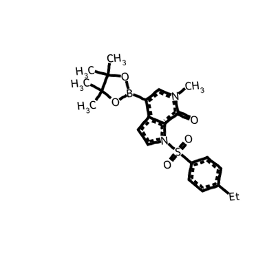 CCc1ccc(S(=O)(=O)n2ccc3c(B4OC(C)(C)C(C)(C)O4)cn(C)c(=O)c32)cc1